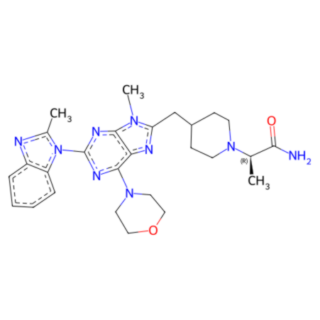 Cc1nc2ccccc2n1-c1nc(N2CCOCC2)c2nc(CC3CCN([C@H](C)C(N)=O)CC3)n(C)c2n1